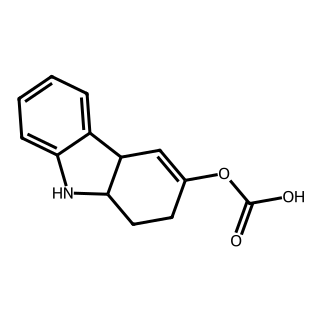 O=C(O)OC1=CC2c3ccccc3NC2CC1